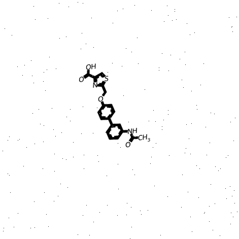 CC(=O)Nc1cccc(-c2ccc(OCc3nc(C(=O)O)cs3)cc2)c1